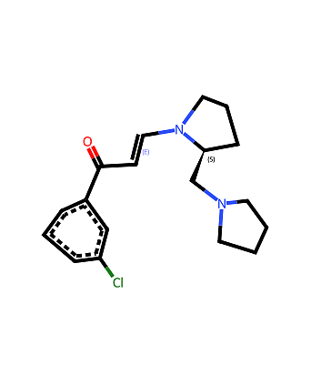 O=C(/C=C/N1CCC[C@H]1CN1CCCC1)c1cccc(Cl)c1